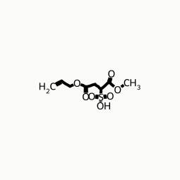 C=CCOC(=O)CC(C(=O)OC)S(=O)(=O)O